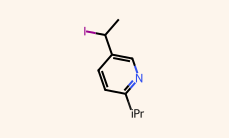 CC(C)c1ccc(C(C)I)cn1